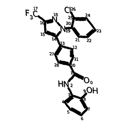 O=C(Nc1ccccc1O)c1ccc(-c2cc(C(F)(F)F)nn2-c2ccccc2Cl)cc1